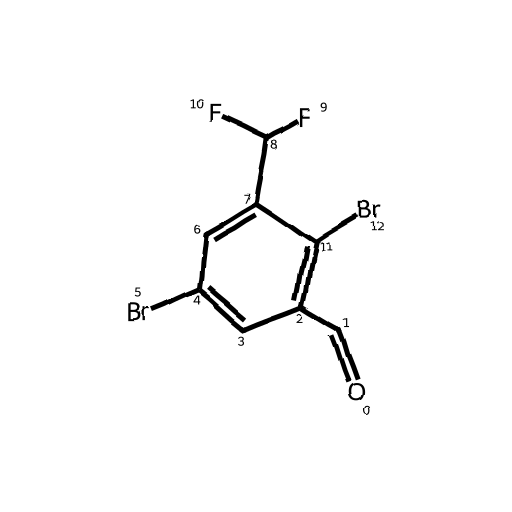 O=Cc1cc(Br)cc(C(F)F)c1Br